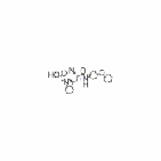 N#C/C(=C\c1cn(CC(=O)O)c2ccccc12)C(=O)Nc1ccc(Oc2ccccc2)cc1